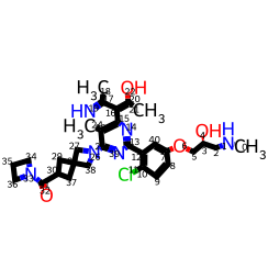 CNC[C@@H](O)COc1ccc(Cl)c(-c2nc(/C(C(C)=N)=C(\C)O)c(C)c(N3CC4(CC(C(=O)N5CCC5)C4)C3)n2)c1